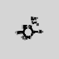 CC(=O)O.N.[Na+].[O-]B(O)O